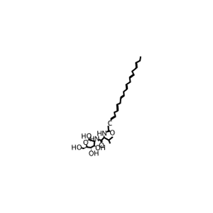 CCC=CCC=CCC=CCC=CCC=CCC=CCCC(=O)N[C@H](C(=O)N[C@@H]1[C@@H](O)[C@H](O)[C@@H](CO)O[C@H]1O)C(C)C